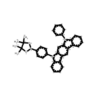 CC1(C)OB(c2ccc(-n3c4ccccc4c4cc5c6ccccc6n(-c6ccccc6)c5cc43)cc2)OC1(C)C